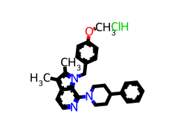 COc1ccc(Cn2c(C)c(C)c3ccnc(N4CCC(c5ccccc5)CC4)c32)cc1.Cl